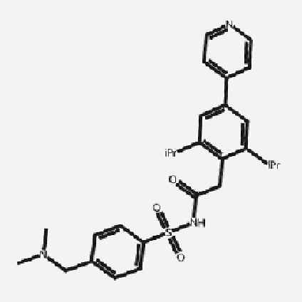 CC(C)c1cc(-c2ccncc2)cc(C(C)C)c1CC(=O)NS(=O)(=O)c1ccc(CN(C)C)cc1